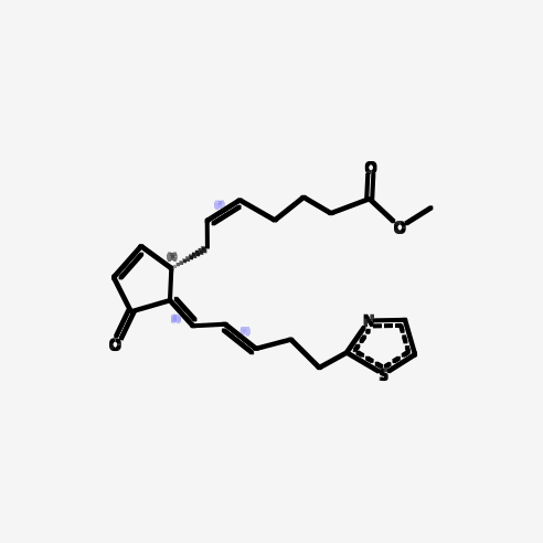 COC(=O)CCC/C=C\C[C@H]1C=CC(=O)/C1=C/C=C/CCc1nccs1